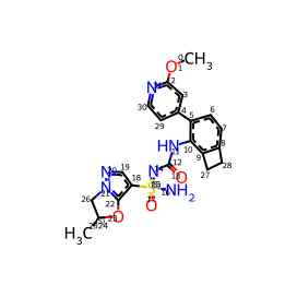 COc1cc(-c2ccc3c(c2NC(=O)N=[S@](N)(=O)c2cnn4c2O[C@@H](C)C4)CC3)ccn1